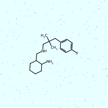 CC(C)(CNCC1CCCCC1N)Cc1ccc(F)cc1